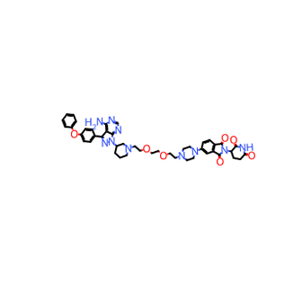 Nc1ncnc2c1c(-c1ccc(Oc3ccccc3)cc1)nn2C1CCCN(CCOCCOCCN2CCN(c3ccc4c(c3)C(=O)N(C3CCC(=O)NC3=O)C4=O)CC2)C1